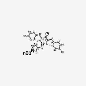 CCCCn1cc(CN2CC(=Cc3ccc(C)cc3)C(=O)C(=Cc3ccc(C)cc3)C2)nn1